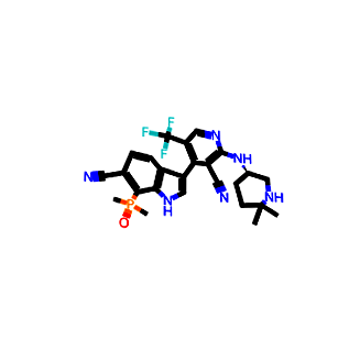 CC1(C)CC[C@H](Nc2ncc(C(F)(F)F)c(-c3c[nH]c4c(P(C)(C)=O)c(C#N)ccc34)c2C#N)CN1